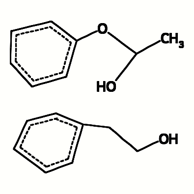 CC(O)Oc1ccccc1.OCCc1ccccc1